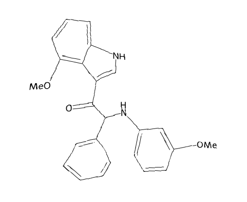 COc1cccc(NC(C(=O)c2c[nH]c3cccc(OC)c23)c2ccccc2)c1